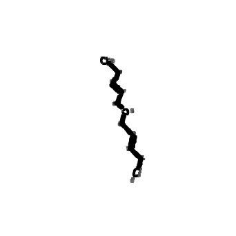 ClCC=CCOCC=CCCl